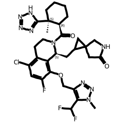 Cn1nnc(COc2c(F)cc(Cl)c3c2[C@H](CC2CC24CNC(=O)C4)N(C(=O)[C@@H]2CCCC[C@]2(C)c2nnn[nH]2)CC3)c1C(F)F